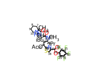 CC[C@H](C)[C@H](NC(=O)[C@]1(C)CCCCN1C)C(=O)N(C)[C@H](C[C@@H](OC(C)=O)c1nc(C(=O)Oc2c(F)c(F)c(F)c(F)c2F)cs1)C(C)C